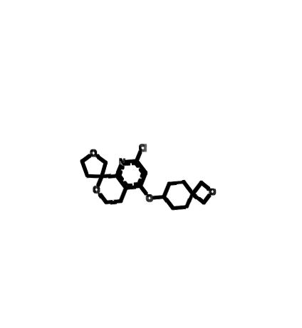 Clc1cc(OC2CCC3(CC2)COC3)c2c(n1)C1(CCOC1)OCC2